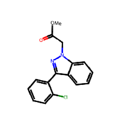 COC(=O)Cn1nc(-c2ccccc2Cl)c2ccccc21